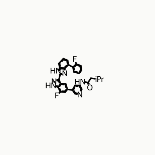 CC(C)CC(=O)Nc1cncc(-c2cc(F)c3[nH]nc(-c4nc5c(-c6ccccc6F)cccc5[nH]4)c3c2)c1